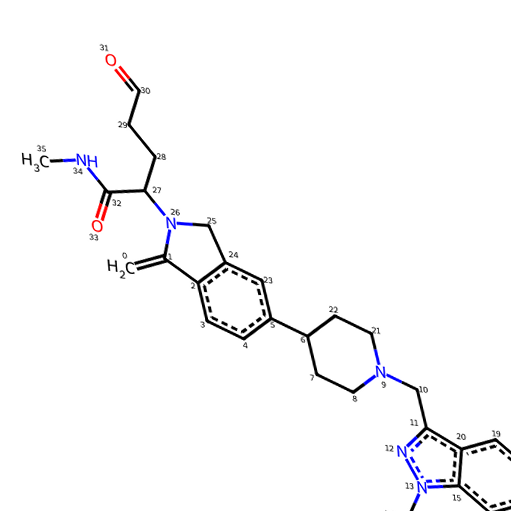 C=C1c2ccc(C3CCN(Cc4nn(C)c5ccccc45)CC3)cc2CN1C(CCC=O)C(=O)NC